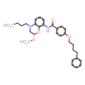 O=C(O)CCCN1C[C@@H](OC(=O)O)Oc2c(NC(=O)c3ccc(OCCCCc4ccccc4)cc3)cccc21